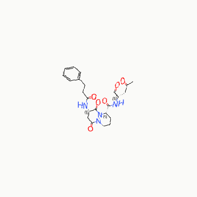 CC(=O)C[C@@H](C=O)NC(=O)[C@@H]1CCCN2C(=O)C[C@H](NC(=O)CCc3ccccc3)C(=O)N12